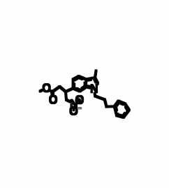 COC(=O)CC(C[N+](=O)[O-])c1ccc2c(C)cn(CCCc3ccccc3)c2c1